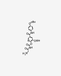 CCCCOc1ccc(NC(=O)c2cnc(OC(=O)NC(=O)CN)c(OC)c2)cc1